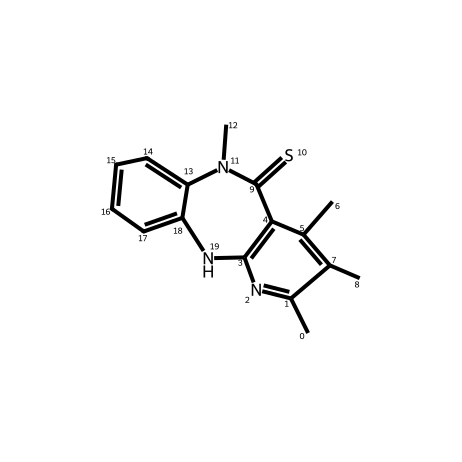 Cc1nc2c(c(C)c1C)C(=S)N(C)c1ccccc1N2